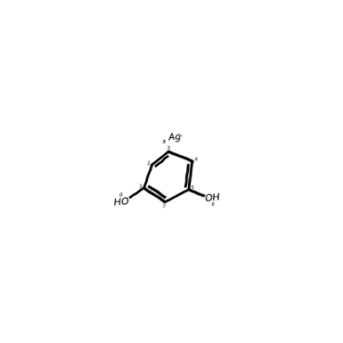 Oc1cccc(O)c1.[Ag]